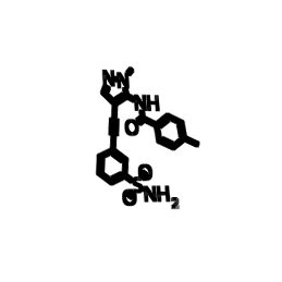 Cc1ccc(C(=O)Nc2c(C#Cc3cccc(S(N)(=O)=O)c3)cnn2C)cc1